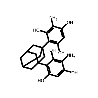 Nc1c(O)cc(O)c(C23CC4CC(C2)CC(c2c(O)cc(O)c(N)c2O)(C4)C3)c1O